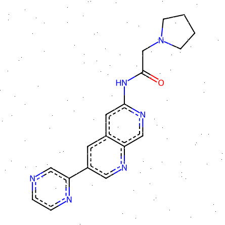 O=C(CN1CCCC1)Nc1cc2cc(-c3cnccn3)cnc2cn1